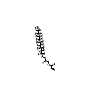 C=CC(=O)OCC(I)CCC(F)(F)C(F)(F)C(F)(F)C(F)(F)C(F)(F)C(F)(F)C(F)(F)C(F)(F)C(F)(F)C(F)(F)F